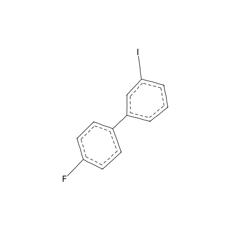 Fc1ccc(-c2cccc(I)c2)cc1